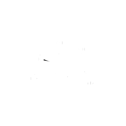 CCCCO[C@@H]1OC(CO)[C@@H](O)C(O)[C@@H]1O